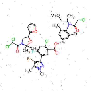 CC(C)OC(=O)c1cc(-c2nn(C)c(C(F)(F)F)c2Br)c(F)cc1Cl.CC1(C)OC(c2ccco2)CN1C(=O)C(Cl)Cl.CCc1cccc(C)c1N(C(=O)CCl)C(C)COC